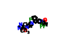 Cc1ncnc(C)c1C(=O)N1CC2CN(CCC3(c4cccc(F)c4)CCN(C(=O)C4(C(F)(F)F)CC4)CC3)CC2C1